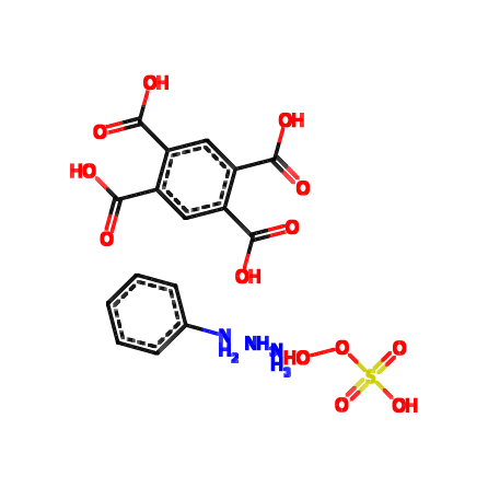 N.N.Nc1ccccc1.O=C(O)c1cc(C(=O)O)c(C(=O)O)cc1C(=O)O.O=S(=O)(O)OO